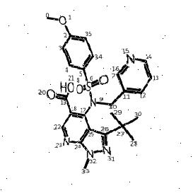 COc1ccc(S(=O)(=O)N(Cc2cccnc2)c2c(C(=O)O)cnc3c2c(C(C)(C)C)nn3C)cc1